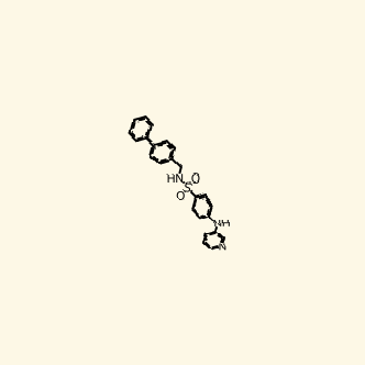 O=S(=O)(NCc1ccc(-c2ccccc2)cc1)c1ccc(Nc2cccnc2)cc1